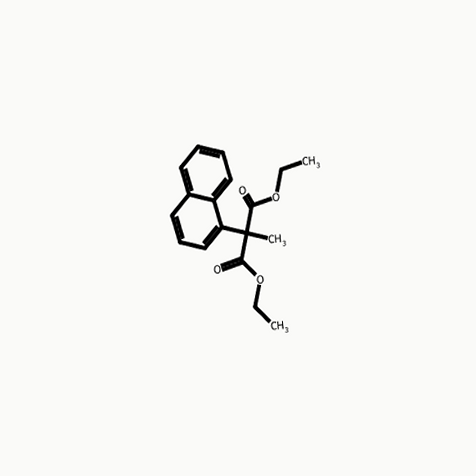 CCOC(=O)C(C)(C(=O)OCC)c1cccc2ccccc12